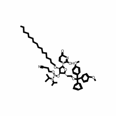 CCCCCCCCCCCCCCCCO[C@@H]1[C@H](OP(OCCC#N)N(C(C)C)C(C)C)[C@@H](CCOC(c2ccccc2)(c2ccc(OC)cc2)c2ccc(OC)cc2)O[C@H]1n1ccc(=O)nc1O